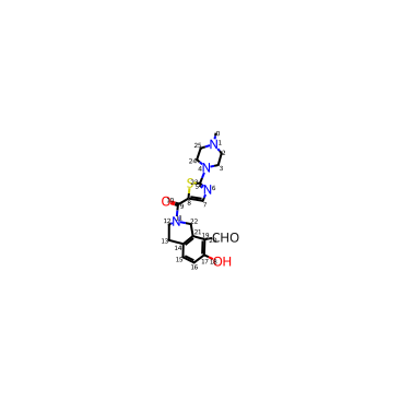 CN1CCN(c2ncc(C(=O)N3CCc4ccc(O)c(C=O)c4C3)s2)CC1